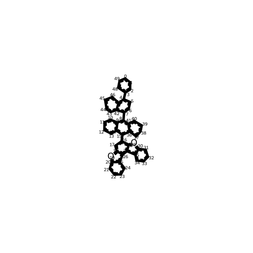 c1ccc(-c2ccc(-c3c4ccccc4c(-c4cc5oc6ccccc6c5c5c4oc4ccccc45)c4ccccc34)c3ccccc23)cc1